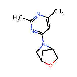 Cc1cc(N2CC3CC2CO3)nc(C)n1